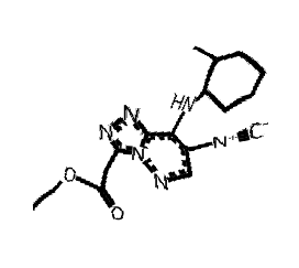 [C-]#[N+]c1cnn2c(C(=O)OCC)nnc2c1NC1CCCCC1C